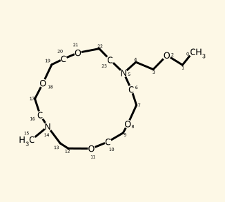 CCOCCN1CCOCCOCCN(C)CCOCCOCC1